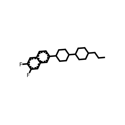 CCCC1CCC(C2CCC(c3ccc4cc(F)c(F)cc4c3)CC2)CC1